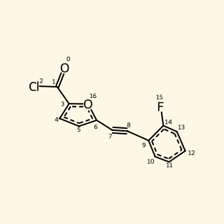 O=C(Cl)c1ccc(C#Cc2ccccc2F)o1